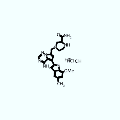 COc1cc(C)cc2cc(-c3cc(CN4CCNC(C(N)=O)C4)n4ncnc(N)c34)sc12.Cl.Cl.Cl